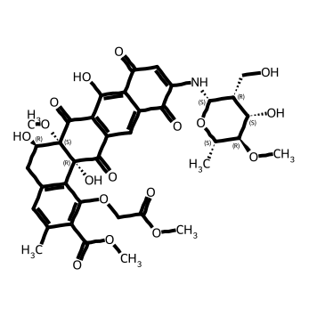 COC(=O)COc1c(C(=O)OC)c(C)cc2c1[C@]1(O)C(=O)c3cc4c(c(O)c3C(=O)[C@]1(OC)[C@H](O)C2)C(=O)C=C(N[C@H]1O[C@@H](C)[C@H](OC)[C@@H](O)[C@H]1CO)C4=O